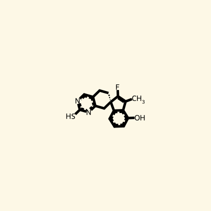 CC1=C(F)[C@@]2(CCc3cnc(S)nc3C2)c2cccc(O)c21